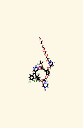 COCCOCCOCCOCCOc1nccc(COc2ccc3cc2C[C@H](C(=O)OC(C)(C)C)Oc2ncnc4sc(-c5ccc(F)cc5)c(c24)-c2c(C)c(Cl)c(c(Cl)c2C)O[C@H](CN2CCN(C)CC2)CO3)n1